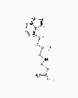 CC(C)CCNCC(O)COc1cccc2sncc12